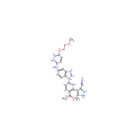 COCCOc1ccc(Nc2ccc3c(c2)ncn3-c2ccc(C(C)=O)c(-c3c(C#N)n[nH]c3C)n2)nn1